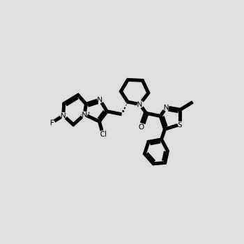 Cc1nc(C(=O)N2CCCC[C@H]2CC2=C(Cl)[N+]3CN(F)C=CC3=N2)c(-c2ccccc2)s1